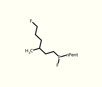 CCCCCP(F)CCC(C)CCCF